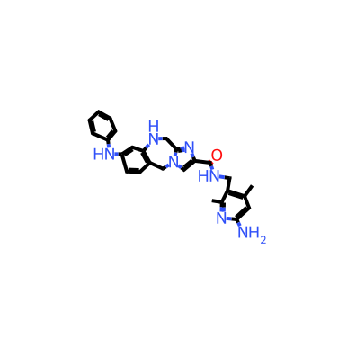 Cc1cc(N)nc(C)c1CNC(=O)c1cn2c(n1)CNc1cc(Nc3ccccc3)ccc1C2